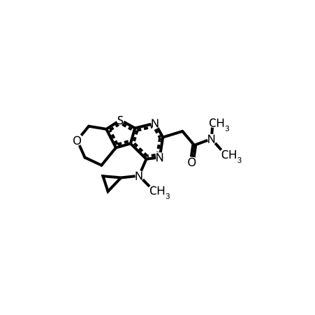 CN(C)C(=O)Cc1nc(N(C)C2CC2)c2c3c(sc2n1)COCC3